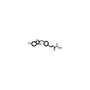 O=C(/C=C/c1ccc(Cc2nc3cc(F)ccc3[nH]2)cc1)NO